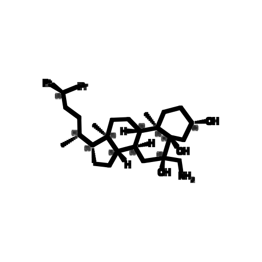 CC[C@H](CC[C@@H](C)[C@H]1CC[C@H]2[C@@H]3C[C@@](O)(CN)[C@@]4(O)C[C@@H](O)CC[C@]4(C)[C@H]3CC[C@]12C)C(C)C